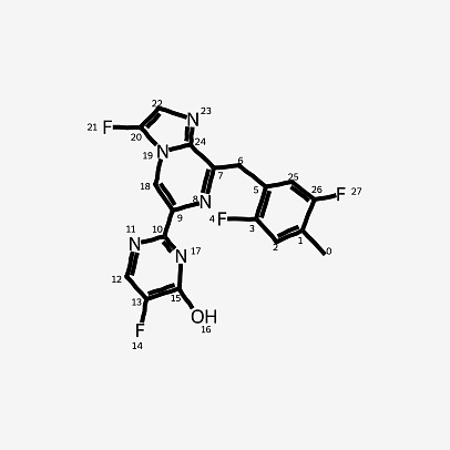 Cc1cc(F)c(Cc2nc(-c3ncc(F)c(O)n3)cn3c(F)cnc23)cc1F